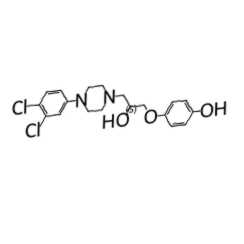 Oc1ccc(OC[C@@H](O)CN2CCN(c3ccc(Cl)c(Cl)c3)CC2)cc1